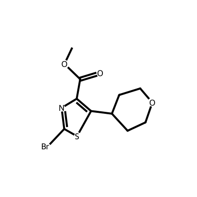 COC(=O)c1nc(Br)sc1C1CCOCC1